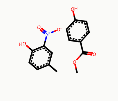 COC(=O)c1ccc(O)cc1.Cc1ccc(O)c([N+](=O)[O-])c1